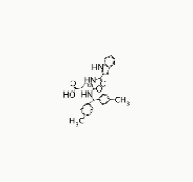 Cc1ccc(C(NC(=O)[C@H](CCC(=O)O)NC(=O)c2cc3ccccc3[nH]2)c2ccc(C)cc2)cc1